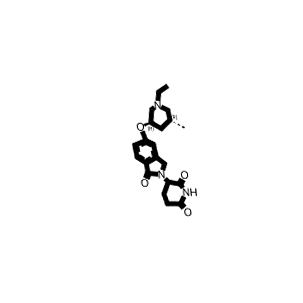 CCN1C[C@H](C)C[C@@H](Oc2ccc3c(c2)CN(C2CCC(=O)NC2=O)C3=O)C1